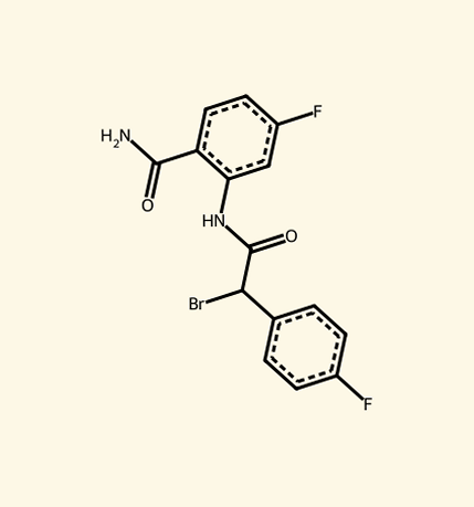 NC(=O)c1ccc(F)cc1NC(=O)C(Br)c1ccc(F)cc1